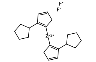 C1=CC(C2CCCC2)=[C]([Zr+2][C]2=C(C3CCCC3)C=CC2)C1.[F-].[F-]